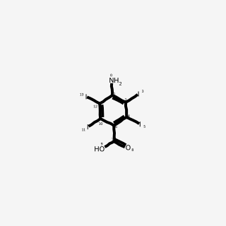 Nc1c(I)c(I)c(C(=O)O)c(I)c1I